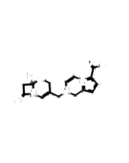 O=C(O)c1ccc2n1C=CN(CC1=CN3C(=O)C[C@H]3SC1)C2